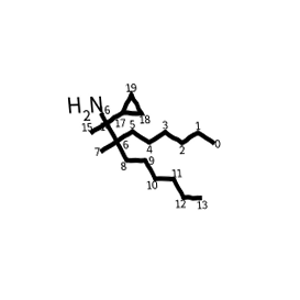 CCCCCCC(C)(CCCCCC)C(C)(N)C1CC1